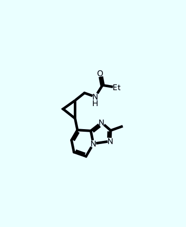 CCC(=O)NCC1CC1c1cccn2nc(C)nc12